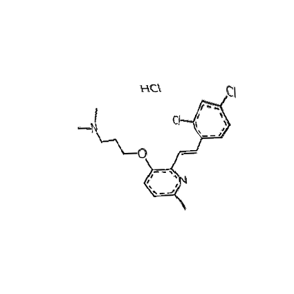 Cc1ccc(OCCCN(C)C)c(C=Cc2ccc(Cl)cc2Cl)n1.Cl